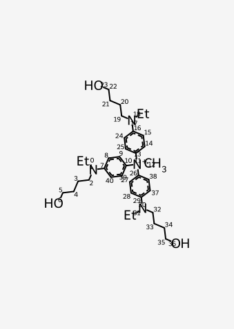 CCN(CCCCO)c1ccc([N+](C)(c2ccc(N(CC)CCCCO)cc2)c2ccc(N(CC)CCCCO)cc2)cc1